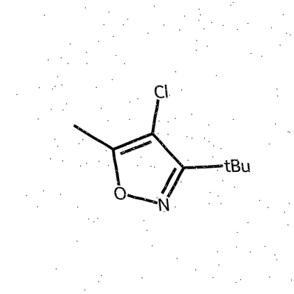 Cc1onc(C(C)(C)C)c1Cl